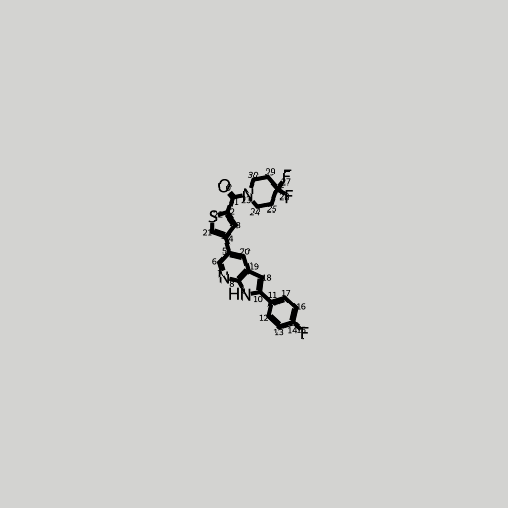 O=C(c1cc(-c2cnc3[nH]c(-c4ccc(F)cc4)cc3c2)cs1)N1CCC(F)(F)CC1